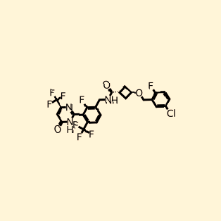 O=c1cc(C(F)(F)F)nc(-c2c(C(F)(F)F)ccc(CNC(=O)[C@H]3C[C@H](OCc4cc(Cl)ccc4F)C3)c2F)[nH]1